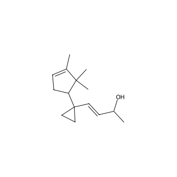 CC1=CCC(C2(C=CC(C)O)CC2)C1(C)C